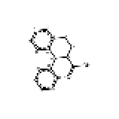 O=C(O)C1CCc2ccccc2C1c1ccccc1